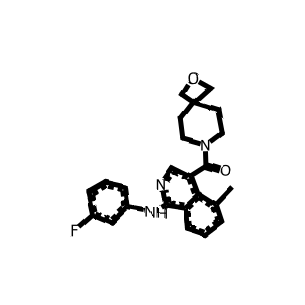 Cc1cccc2c(Nc3cccc(F)c3)ncc(C(=O)N3CCC4(CC3)COC4)c12